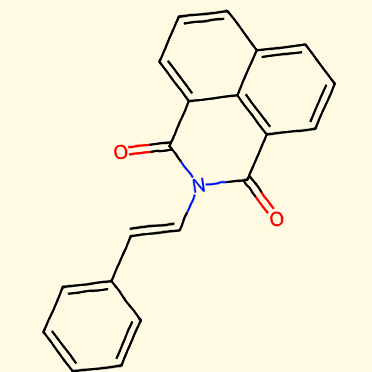 O=C1c2cccc3cccc(c23)C(=O)N1C=Cc1ccccc1